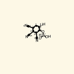 N#Cc1ccc(OB(O)O)c(C#N)c1C#N.[LiH]